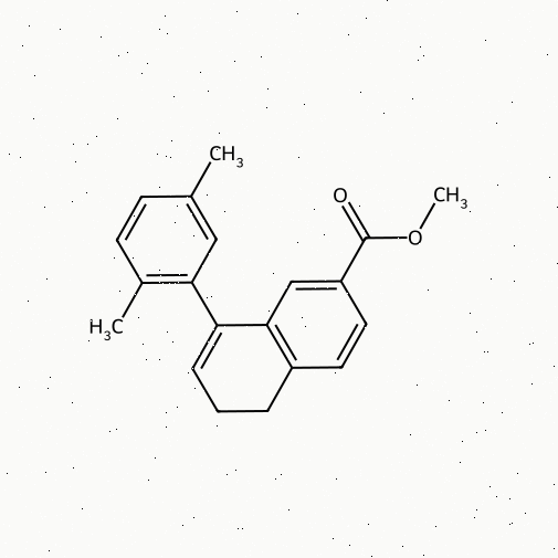 COC(=O)c1ccc2c(c1)C(c1cc(C)ccc1C)=CCC2